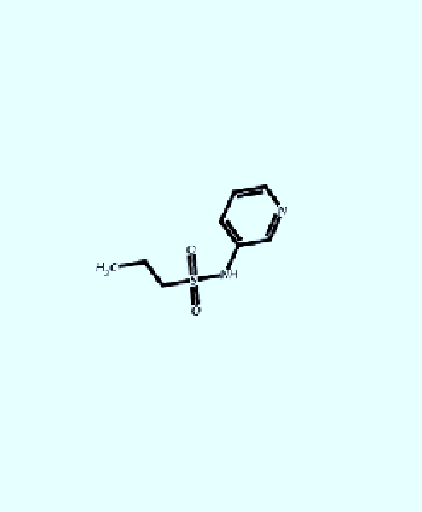 CCCS(=O)(=O)Nc1cccnc1